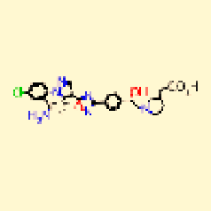 NCc1cc(Cl)ccc1-n1ncc(-c2nc(-c3ccc([C@H](O)CN4CCC[C@H](CC(=O)O)C4)cc3)no2)c1C(F)(F)F